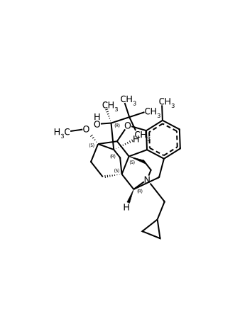 CO[C@@]12CC[C@@]3(C[C@@H]1[C@@](C)(O)C(C)(C)C)[C@H]1Cc4ccc(C)c5c4[C@@]3(CCN1CC1CC1)C2O5